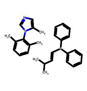 CC(C)C=CB(c1ccccc1)c1ccccc1.Cc1cccc(C)c1-n1cncc1C